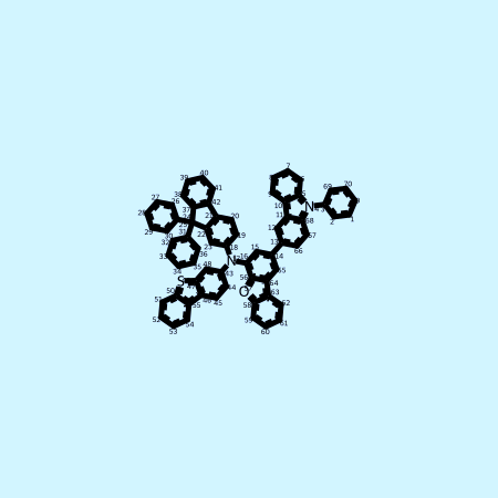 c1ccc(-n2c3ccccc3c3cc(-c4cc(N(c5ccc6c(c5)C(c5ccccc5)(c5ccccc5)c5ccccc5-6)c5ccc6c(c5)sc5ccccc56)c5oc6ccccc6c5c4)ccc32)cc1